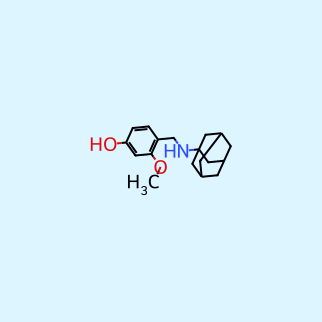 COc1cc(O)ccc1CNC12CC3CC(CC(C3)C1)C2